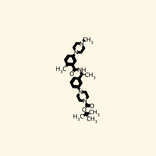 Cc1ccc(N2CCN(C)CC2)cc1C(=O)N[C@H](C)c1cccc(N2CCN(C(=O)OC(C)(C)C)CC2)c1